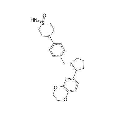 N=S1(=O)CCN(c2ccc(CN3CCCC3c3ccc4c(c3)OCCO4)cc2)CC1